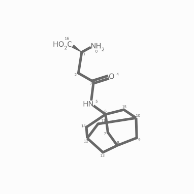 N[C@@H](CC(=O)NC12CC3CC(CC(C3)C1)C2)C(=O)O